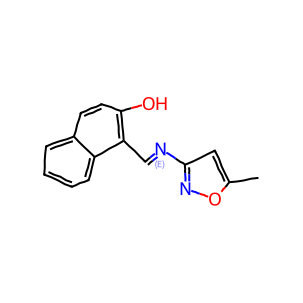 Cc1cc(/N=C/c2c(O)ccc3ccccc23)no1